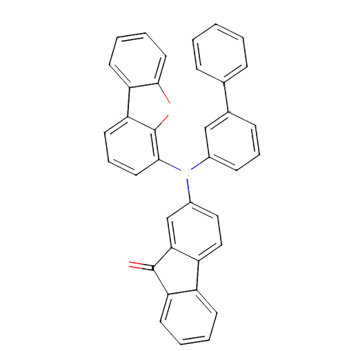 O=C1c2ccccc2-c2ccc(N(c3cccc(-c4ccccc4)c3)c3cccc4c3oc3ccccc34)cc21